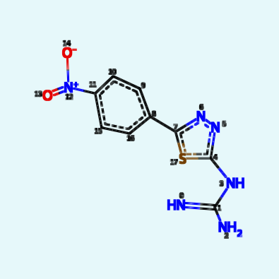 N=C(N)Nc1nnc(-c2ccc([N+](=O)[O-])cc2)s1